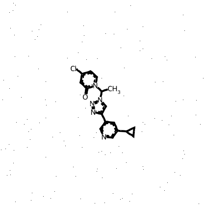 CC(n1cc(-c2cncc(C3CC3)c2)nn1)n1ccc(Cl)cc1=O